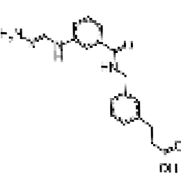 NN=CNc1cccc(C(=O)NCc2cccc(CCC(=O)O)c2)c1